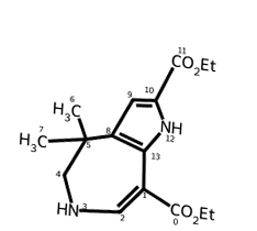 CCOC(=O)C1=CNCC(C)(C)c2cc(C(=O)OCC)[nH]c21